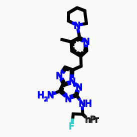 CCCC(CF)Nc1nc(N)c2ncc(Cc3cnc(N4CCCCC4)c(C)c3)n2n1